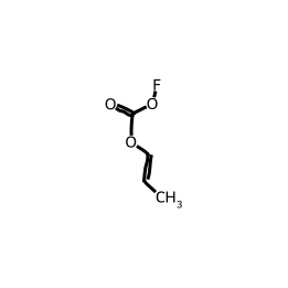 CC=COC(=O)OF